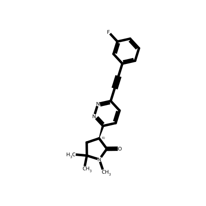 CN1C(=O)[C@H](c2ccc(C#Cc3cccc(F)c3)nn2)CC1(C)C